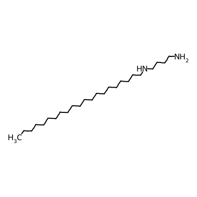 CCCCCCCCCCCCCCCCCCCCCNCCCCN